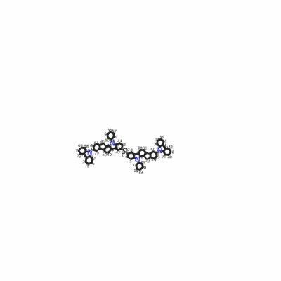 C[Si](C)(c1ccc2c(c1)c1ccc3c(c1n2-c1ccccc1)Cc1ccc(-n2c4ccccc4c4ccccc42)cc1-3)c1ccc2c(c1)c1ccc3c(c1n2-c1ccccc1)Cc1ccc(-n2c4ccccc4c4ccccc42)cc1-3